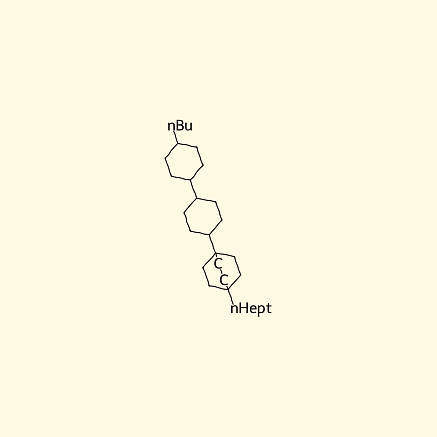 CCCCCCCC12CCC(C3CCC(C4CCC(CCCC)CC4)CC3)(CC1)CC2